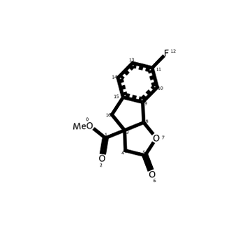 COC(=O)C12CC(=O)OC1c1cc(F)ccc1C2